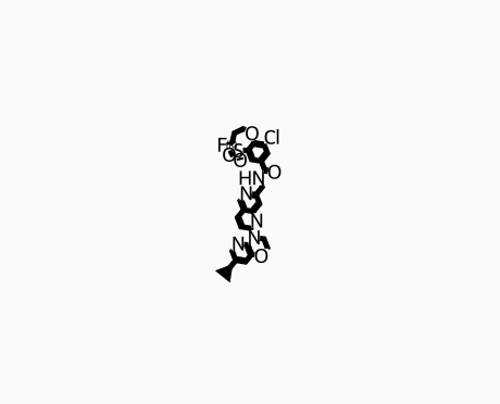 O=C(NCc1cc2nc(N3CCOc4cc(C5CC5)cnc43)ccc2cn1)c1cc(Cl)c2c(c1)S(=O)(=O)[C@@H](F)CCO2